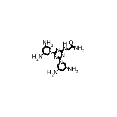 NC(=O)CNc1nc(N2C[C@H](N)C[C@H](N)C2)nc(N2C[C@H](N)C[C@H](N)C2)n1